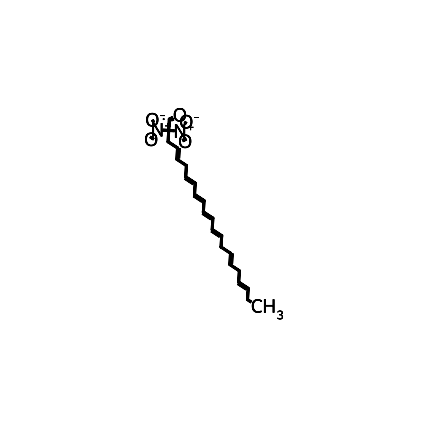 CCC=CCC=CCC=CC=CC=CC=CCC=CCC([C]=O)([N+](=O)[O-])[N+](=O)[O-]